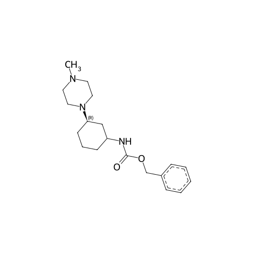 CN1CCN([C@@H]2CCCC(NC(=O)OCc3ccccc3)C2)CC1